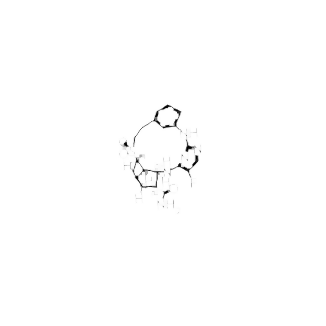 NC(=O)[C@H]1[C@H]2C[C@H]3[C@H]1Nc1nc(ncc1F)Nc1cccc(c1)CCS(=O)(=O)[C@@H]3C2